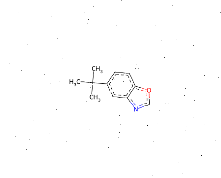 CC(C)(C)c1ccc2ocnc2c1